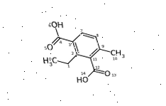 CCc1c(C(=O)O)ccc(C)c1C(=O)O